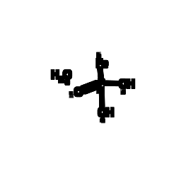 O.O=[P](O)(O)[Fe]